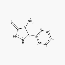 NC1C(=O)NNC1c1ccccc1